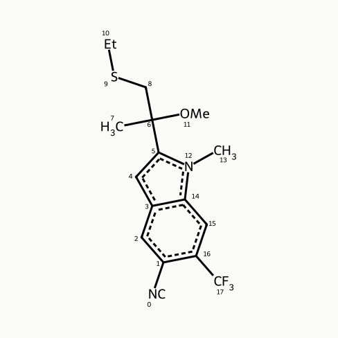 [C-]#[N+]c1cc2cc(C(C)(CSCC)OC)n(C)c2cc1C(F)(F)F